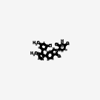 Cc1cc(Cl)cc(-c2c(-c3ccc4c(c3)CN(C3CCC(=O)NC3=O)C4=O)ncn2C)c1